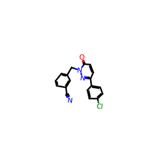 N#Cc1cccc(Cn2nc(-c3ccc(Cl)cc3)ccc2=O)c1